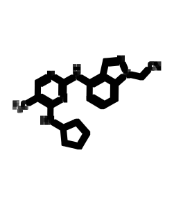 N#CCn1ncc2c(Nc3ncc(C(F)(F)F)c(NC4CCCC4)n3)cccc21